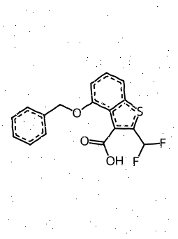 O=C(O)c1c(C(F)F)sc2cccc(OCc3ccccc3)c12